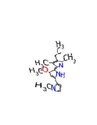 CCC1=C(C)C(=C2NC(c3cccn3C)=CC2OC)N=C1C